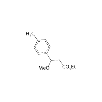 CCOC(=O)CC(OC)c1ccc(C)cc1